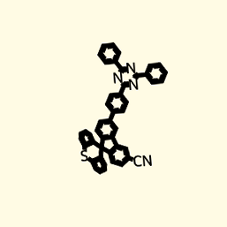 N#Cc1ccc2c(c1)-c1cc(-c3ccc(-c4nc(-c5ccccc5)nc(-c5ccccc5)n4)cc3)ccc1C21c2ccccc2Sc2ccccc21